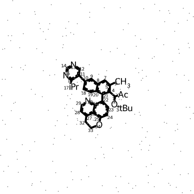 CC(=O)C(OC(C)(C)C)c1c(C)cc2cc(-c3cncnc3C(C)C)ccc2c1-c1ccc2c3c(ccnc13)CCO2